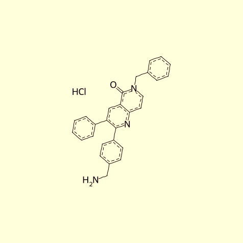 Cl.NCc1ccc(-c2nc3ccn(Cc4ccccc4)c(=O)c3cc2-c2ccccc2)cc1